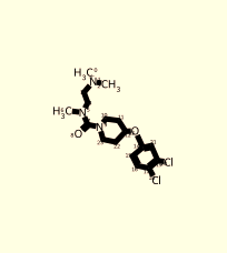 CN(C)CCN(C)C(=O)N1CCC(Oc2ccc(Cl)c(Cl)c2)CC1